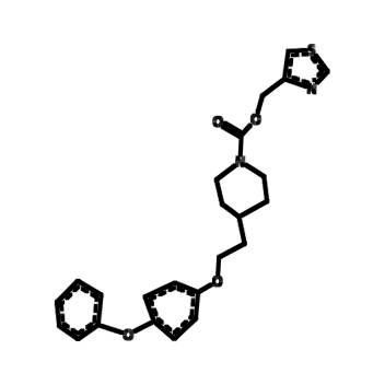 O=C(OCc1cscn1)N1CCC(CCOc2ccc(Oc3ccccc3)cc2)CC1